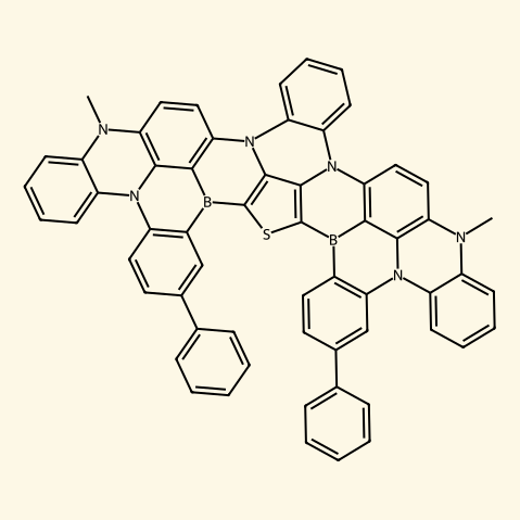 CN1c2ccccc2N2c3ccc(-c4ccccc4)cc3B3c4sc5c6c4N(c4ccccc4N6c4ccc6c7c4B5c4ccc(-c5ccccc5)cc4N7c4ccccc4N6C)c4ccc1c2c43